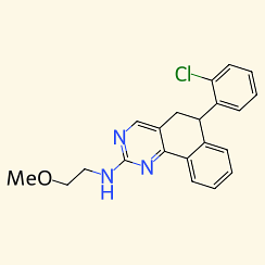 COCCNc1ncc2c(n1)-c1ccccc1C(c1ccccc1Cl)C2